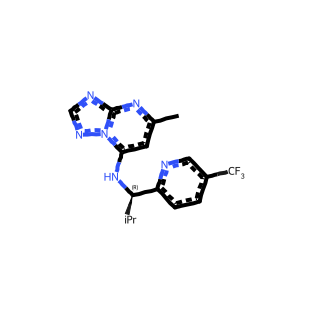 Cc1cc(N[C@@H](c2ccc(C(F)(F)F)cn2)C(C)C)n2ncnc2n1